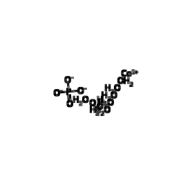 O.O.O.O.O.O.O.O.O=P([O-])([O-])[O-].[Co+3]